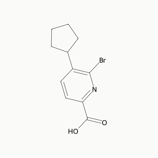 O=C(O)c1ccc(C2CCCC2)c(Br)n1